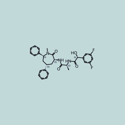 C[C@H](NC(=O)[C@@H](O)c1cc(F)cc(F)c1)C(=O)N[C@H]1C[C@H](c2ccccc2)C[C@@H](c2ccccc2)N(C)C1=O